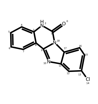 O=c1[nH]c2ccccc2c2nc3cc(Cl)ccc3n12